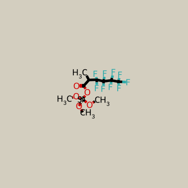 CO[Si](OC)(OC)OC(=O)C(C)C(F)(F)C(F)(F)C(F)(F)C(F)(F)F